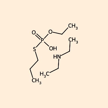 CCCSP(=O)(O)OCC.CCNCC